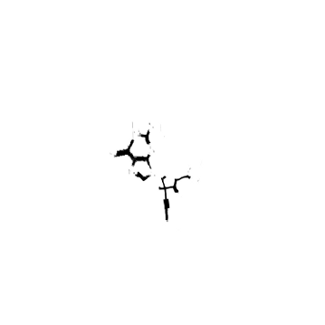 CC#CC1(F)C(=O)[C@@H]([C@@H](C)O)O[C@H]1n1cnc2c(=S)[nH]c(N)nc21